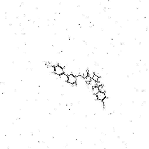 C[C@@]1(C(=O)NCc2cc(-c3ccc(C(F)(F)F)nc3)ncn2)CCN1S(=O)(=O)c1ccc(F)cc1